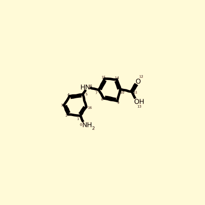 Nc1cccc(Nc2ccc(C(=O)O)cc2)c1